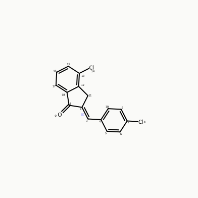 O=C1/C(=C/c2ccc(Cl)cc2)Cc2c(Cl)cccc21